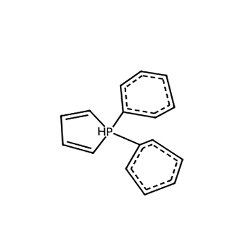 C1=C[PH](c2ccccc2)(c2ccccc2)C=C1